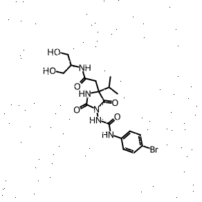 CC(C)C1(CC(=O)NC(CO)CO)NC(=O)N(NC(=O)Nc2ccc(Br)cc2)C1=O